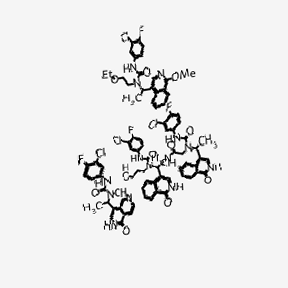 CC(c1c[nH]c(=O)c2ccccc12)N(CC(N)=O)C(=O)Nc1ccc(F)c(Cl)c1.CC(c1c[nH]c(=O)c2ccccc12)N(CCCO)C(=O)Nc1ccc(F)c(Cl)c1.CC(c1c[nH]c(=O)c2ccncc12)N(C)C(=O)Nc1ccc(F)c(Cl)c1.CCOCCN(C(=O)Nc1ccc(F)c(Cl)c1)C(C)c1cnc(OC)c2ccccc12